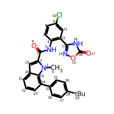 Cn1c(C(=O)Nc2ccc(Cl)cc2-c2noc(=O)[nH]2)cc2cccc(-c3ccc(C(C)(C)C)cc3)c21